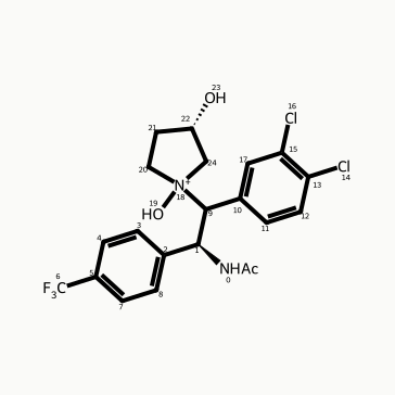 CC(=O)N[C@@H](c1ccc(C(F)(F)F)cc1)C(c1ccc(Cl)c(Cl)c1)[N+]1(O)CC[C@H](O)C1